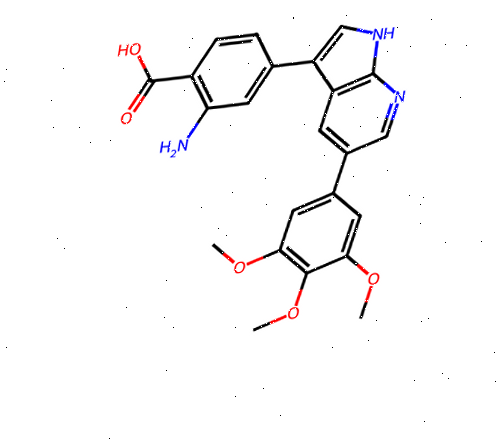 COc1cc(-c2cnc3[nH]cc(-c4ccc(C(=O)O)c(N)c4)c3c2)cc(OC)c1OC